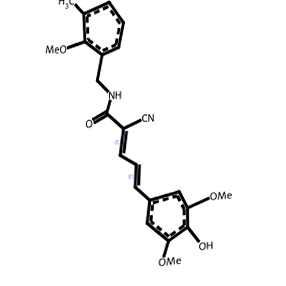 COc1cc(/C=C/C=C(\C#N)C(=O)NCc2cccc(C)c2OC)cc(OC)c1O